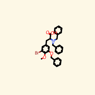 COc1c(Br)cc(CC(C(=O)O)N(Cc2ccccc2)Cc2ccccc2)cc1OCc1ccccc1